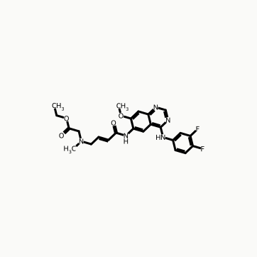 CCOC(=O)CN(C)C/C=C/C(=O)Nc1cc2c(Nc3ccc(F)c(F)c3)ncnc2cc1OC